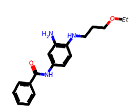 CCOCCCNc1ccc(NC(=O)c2ccccc2)cc1N